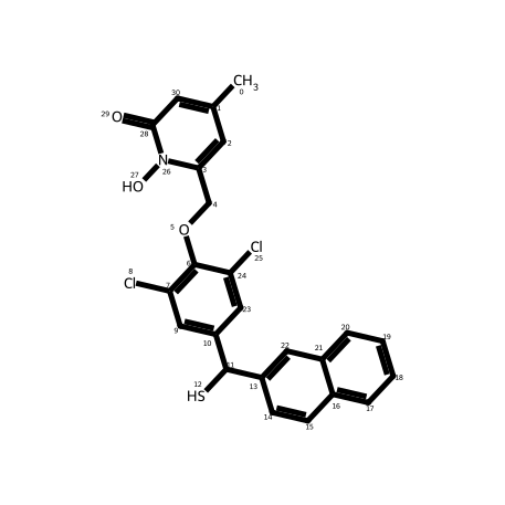 Cc1cc(COc2c(Cl)cc(C(S)c3ccc4ccccc4c3)cc2Cl)n(O)c(=O)c1